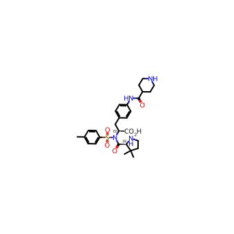 Cc1ccc(S(=O)(=O)N(C(=O)[C@H]2NCCC2(C)C)[C@@H](Cc2ccc(NC(=O)C3CCNCC3)cc2)C(=O)O)cc1